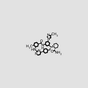 Cc1cn(-c2cc(CN3CCCC[C@H]3C(N)=O)cc(NC(=O)c3ccc(C)c(Nc4nccc(-c5ccc(F)cc5)n4)c3)c2)cn1